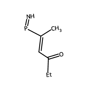 CCC(=O)/C=C(\C)P=N